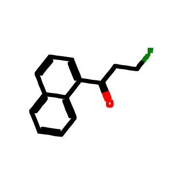 O=C(CCF)c1cccc2ccccc12